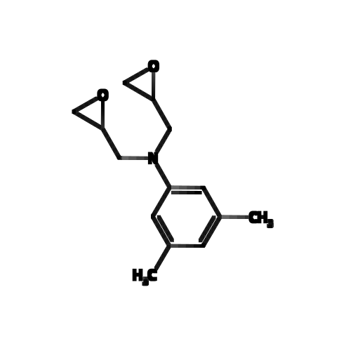 Cc1cc(C)cc(N(CC2CO2)CC2CO2)c1